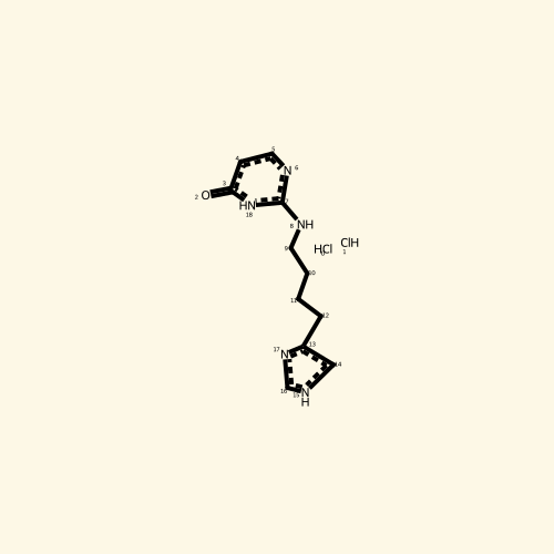 Cl.Cl.O=c1ccnc(NCCCCc2c[nH]cn2)[nH]1